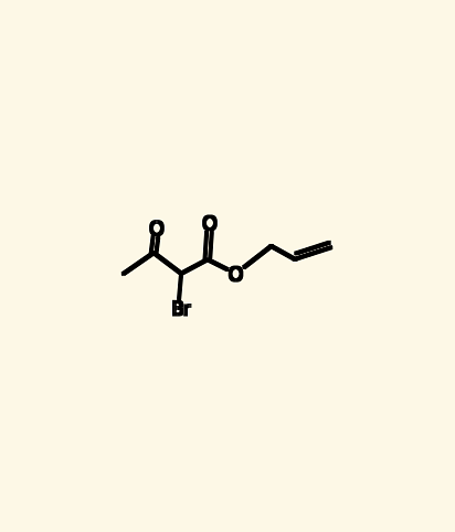 C=CCOC(=O)C(Br)C(C)=O